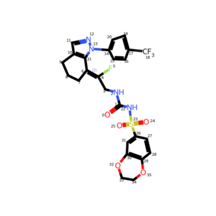 O=C(NC/C(F)=C1\CCCc2cnn(-c3ccc(C(F)(F)F)cc3)c21)NS(=O)(=O)c1ccc2c(c1)OCCO2